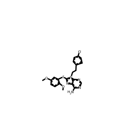 COc1ccc(OC)c(Sc2nc3c(N)ncnc3n2CCc2ccc(Cl)cc2)c1